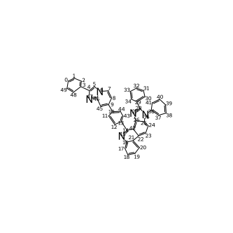 c1ccc(-c2cn3ccc(-c4ccc(-c5nc6ccccc6c6ccc7c(nc(-c8ccccc8)n7-c7ccccc7)c56)cc4)cc3n2)cc1